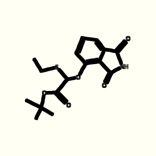 CCSC(Oc1cccc2c1C(=O)NC2=O)C(=O)OC(C)(C)C